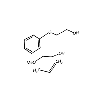 C=CC.COCCO.OCCOc1ccccc1